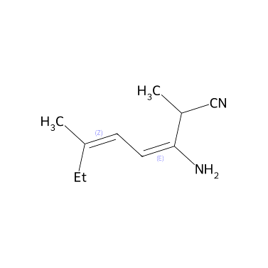 CC/C(C)=C\C=C(\N)C(C)C#N